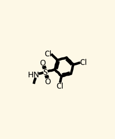 CNS(=O)(=O)c1c(Cl)cc(Cl)cc1Cl